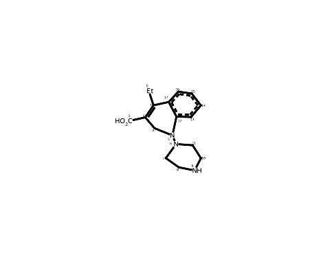 CCC1=C(C(=O)O)CN(N2CCNCC2)c2ccccc21